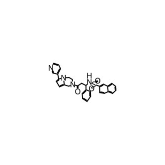 O=C(CC(NS(=O)(=O)c1ccc2ccccc2c1)c1ccccc1)N1CCn2c(ccc2-c2cccnc2)C1